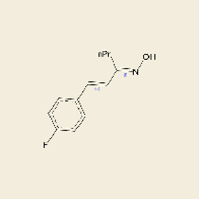 CCCC(/C=C/c1ccc(F)cc1)=N\O